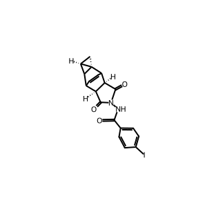 O=C(NN1C(=O)[C@@H]2C3C=CC(C4[C@H]5C[C@]345)[C@@H]2C1=O)c1ccc(I)cc1